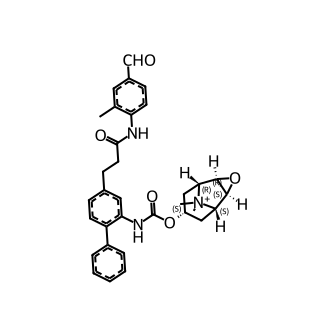 Cc1cc(C=O)ccc1NC(=O)CCc1ccc(-c2ccccc2)c(NC(=O)O[C@@H]2C[C@@H]3[C@H]4O[C@H]4[C@H](C2)[N+]3(C)C)c1